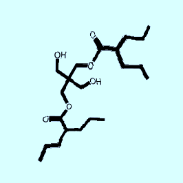 CCCC(CCC)C(=O)OCC(CO)(CO)COC(=O)C(CCC)CCC